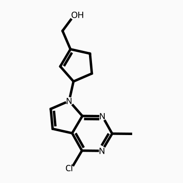 Cc1nc(Cl)c2ccn(C3C=C(CO)CC3)c2n1